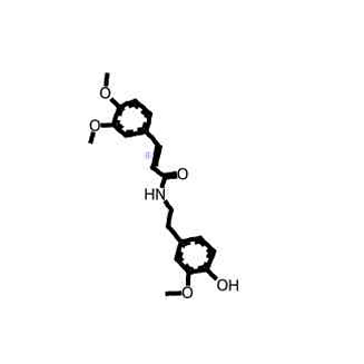 COc1cc(CCNC(=O)/C=C/c2ccc(OC)c(OC)c2)ccc1O